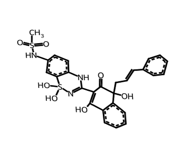 CS(=O)(=O)Nc1ccc2c(c1)S(O)(O)N=C(C1=C(O)c3ccccc3C(O)(CC=Cc3ccccc3)C1=O)N2